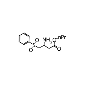 CCCOC(=O)CC(N)CS(=O)(=O)c1ccccc1